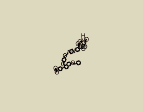 CS(=O)(=O)c1ccc(-c2ccc3cc(OCc4ccccc4)ccc3c2Oc2ccc(OCCN3CCN(c4ccc5c(c4)C(=O)N(C4C(=O)CC(=O)NC4=O)C5=O)CC3)cc2)cc1